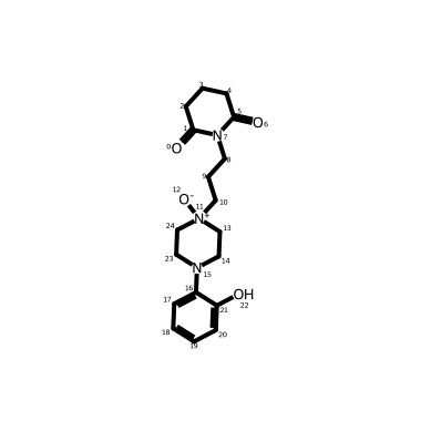 O=C1CCCC(=O)N1CCC[N+]1([O-])CCN(c2ccccc2O)CC1